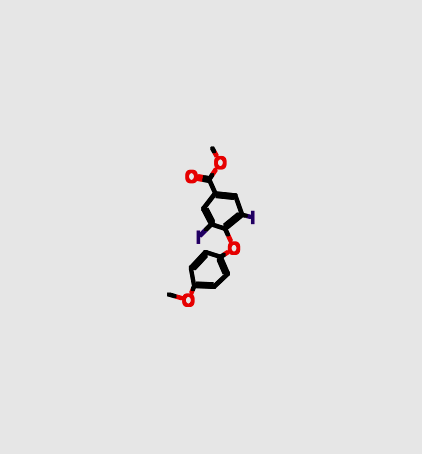 COC(=O)c1cc(I)c(Oc2ccc(OC)cc2)c(I)c1